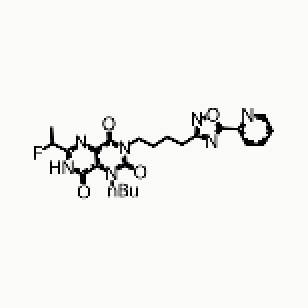 CCCCn1c(=O)n(CCCCc2noc(-c3ccccn3)n2)c(=O)c2nc(C(C)F)[nH]c(=O)c21